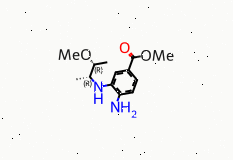 COC(=O)c1ccc(N)c(N[C@H](C)[C@@H](C)OC)c1